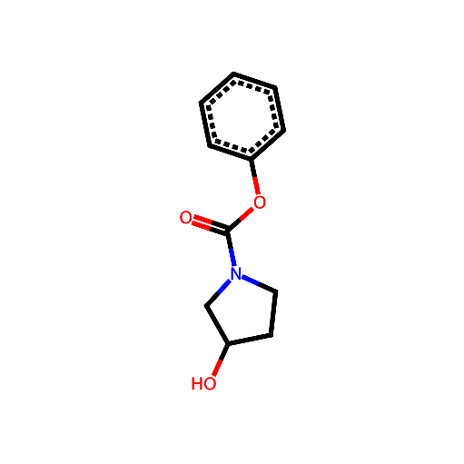 O=C(Oc1ccccc1)N1CCC(O)C1